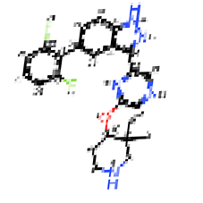 CC1(C)CNCC[C@H]1Oc1cncc(-c2n[nH]c3ccc(-c4c(F)cccc4F)cc23)n1